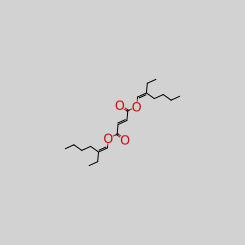 CCCCC(=COC(=O)/C=C/C(=O)OC=C(CC)CCCC)CC